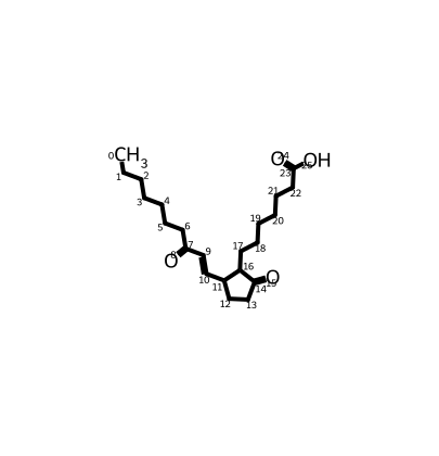 CCCCCCCC(=O)C=CC1CCC(=O)C1CCCCCCC(=O)O